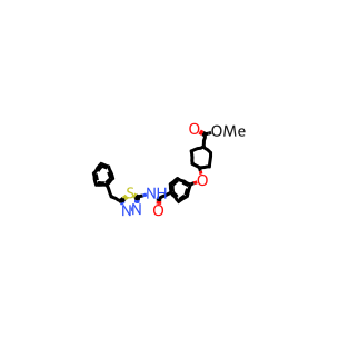 COC(=O)C1CCC(Oc2ccc(C(=O)Nc3nnc(Cc4ccccc4)s3)cc2)CC1